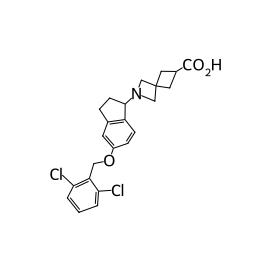 O=C(O)C1CC2(C1)CN(C1CCc3cc(OCc4c(Cl)cccc4Cl)ccc31)C2